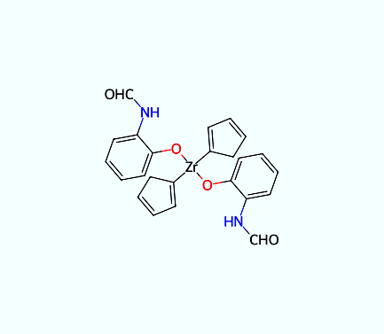 O=CNc1ccccc1[O][Zr]([O]c1ccccc1NC=O)([C]1=CC=CC1)[C]1=CC=CC1